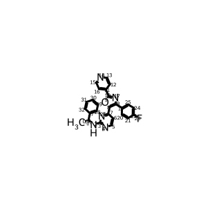 C[C@H](Nc1nccc(-c2oc(-c3ccncc3)nc2-c2ccc(F)cc2)n1)c1ccccc1